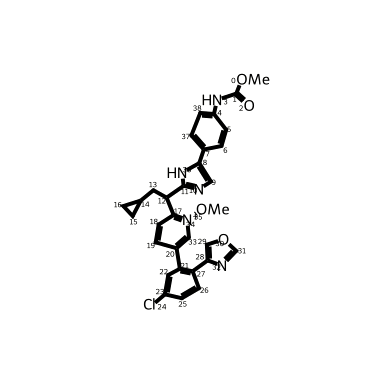 COC(=O)Nc1ccc(-c2cnc(C(CC3CC3)c3ccc(-c4cc(Cl)ccc4-c4cocn4)c[n+]3OC)[nH]2)cc1